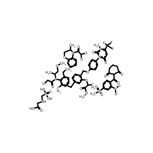 CC1COc2ccccc2N1C(=O)C(Cl)Cl.CCc1ccc(COc2ccc(-n3c(=O)cc(C(F)(F)F)n(C)c3=O)cc2)c(OC(C)C(=O)OC)c1.CCc1cccc(C)c1N(C(=O)CCl)C(C)COC.CS(=O)(=O)c1ccc(C(=O)C2C(=O)CCCC2=O)c([N+](=O)[O-])c1.O=C(O)CNCP(=O)(O)O